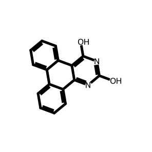 Oc1nc(O)c2c3ccccc3c3ccccc3c2n1